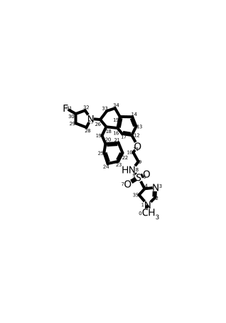 CN1C=NC(S(=O)(=O)NCCOc2ccc3c(c2)C(Cc2ccccc2)C(N2CCC(F)C2)CC3)C1